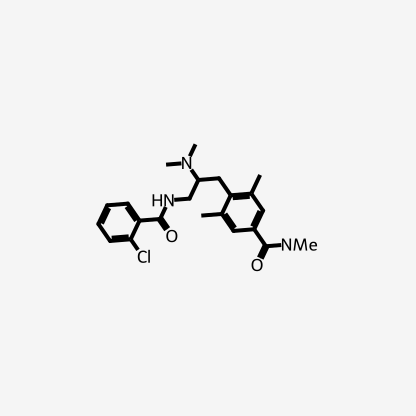 CNC(=O)c1cc(C)c(CC(CNC(=O)c2ccccc2Cl)N(C)C)c(C)c1